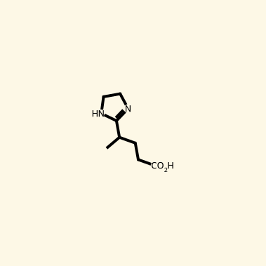 CC(CCC(=O)O)C1=NCCN1